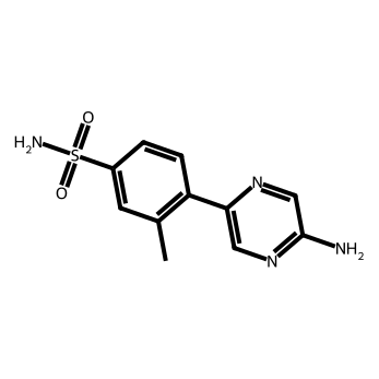 Cc1cc(S(N)(=O)=O)ccc1-c1cnc(N)cn1